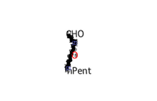 CCCCC/C=C\CCCCC(=O)CCC/C=C\CCCC=O